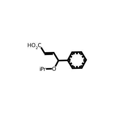 CC(C)OC(C=CC(=O)O)c1ccccc1